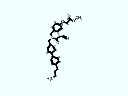 CCCCc1ccc(-c2ccc(CN(Cc3ccc(OCC(=O)OC)cc3)C(=O)CC#N)cc2)cc1